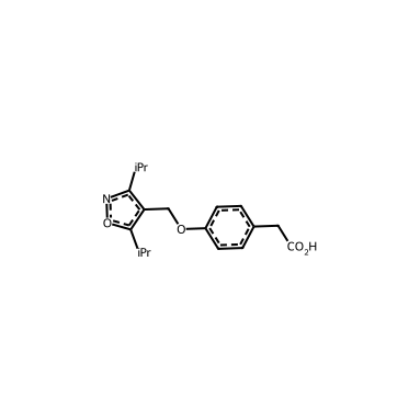 CC(C)c1noc(C(C)C)c1COc1ccc(CC(=O)O)cc1